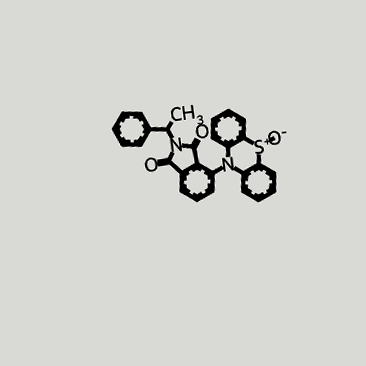 CC(c1ccccc1)N1C(=O)c2cccc(N3c4ccccc4[S+]([O-])c4ccccc43)c2C1=O